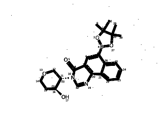 CC1(C)OB(c2cc3c(=O)n([C@H]4COCC[C@@H]4O)cnc3c3ccccc23)OC1(C)C